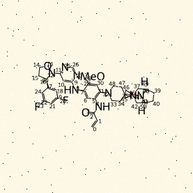 C=CC(=O)Nc1cc(Nc2cc(N3OCC[C@@H]3c3cc(F)cc(F)c3)ncn2)c(OC)cc1N1CCC(N2C[C@H]3CC[C@@H](C2)N3C2CC2)CC1